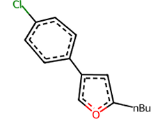 [CH2]CCCc1cc(-c2ccc(Cl)cc2)co1